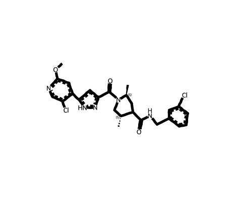 COc1cc(-c2cc(C(=O)N3C[C@@H](C)C(C(=O)NCc4cccc(Cl)c4)C[C@@H]3C)n[nH]2)c(Cl)cn1